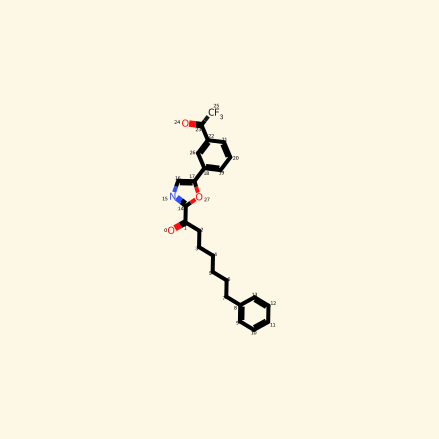 O=C(CCCCCCc1ccccc1)c1ncc(-c2cccc(C(=O)C(F)(F)F)c2)o1